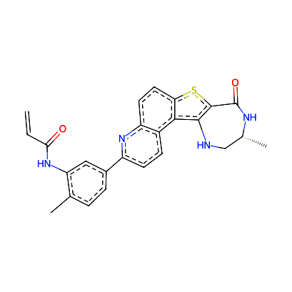 C=CC(=O)Nc1cc(-c2ccc3c(ccc4sc5c(c43)NC[C@@H](C)NC5=O)n2)ccc1C